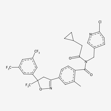 Cc1cc(C2=NOC(c3cc(C(F)(F)F)cc(C(F)(F)F)c3)(C(F)(F)F)C2)ccc1C(=O)N(Cc1ccc(Cl)nc1)C(=O)CC1CC1